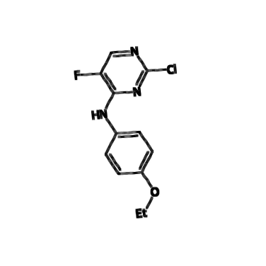 CCOc1ccc(Nc2nc(Cl)ncc2F)cc1